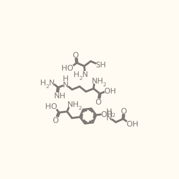 N=C(N)NCCCC(N)C(=O)O.NC(CS)C(=O)O.NC(Cc1ccc(O)cc1)C(=O)O.NCC(=O)O